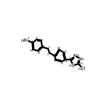 CCCc1ccc(CCc2ccc(-c3nnc(CC)s3)cc2)cc1